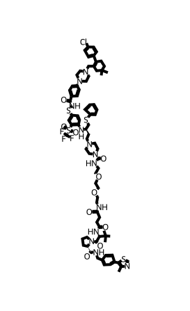 Cc1ncsc1-c1ccc(CNC(=O)[C@@H]2CCCN2C(=O)[C@@H](NC(=O)CCC(=O)NCCOCCOCCNC(=O)N2CCN(CC[C@H](CSc3ccccc3)Nc3ccc(SNC(=O)c4ccc(N5CCN(CC6=C(c7ccc(Cl)cc7)CCC(C)(C)C6)CC5)cc4)cc3S(=O)(=O)C(F)(F)F)CC2)C(C)(C)C)cc1